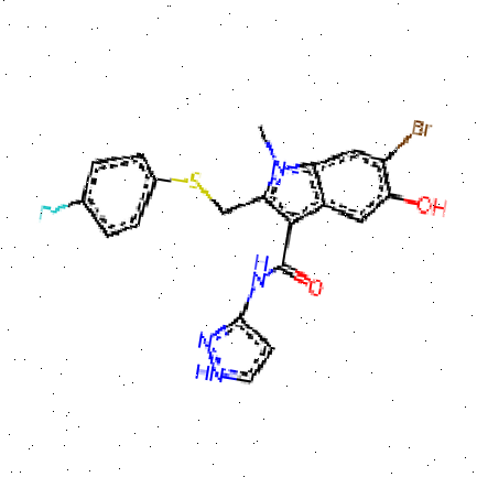 Cn1c(CSc2ccc(F)cc2)c(C(=O)Nc2cc[nH]n2)c2cc(O)c(Br)cc21